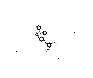 COc1cc(C=Cc2ccc(OP(=O)(OCc3ccccc3)OCc3ccccc3)cc2)cc(OC)c1